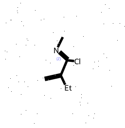 C=C(CC)/C(Cl)=N/C